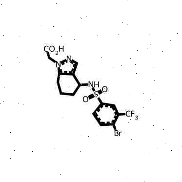 O=C(O)Cn1ncc2c1CCCC2NS(=O)(=O)c1ccc(Br)c(C(F)(F)F)c1